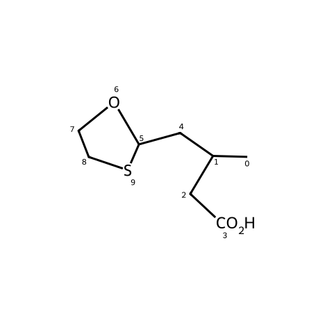 CC(CC(=O)O)CC1OCCS1